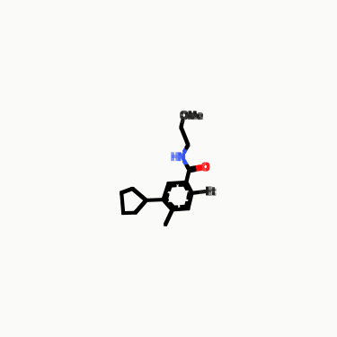 CCc1cc(C)c(C2CCCC2)cc1C(=O)NCCOC